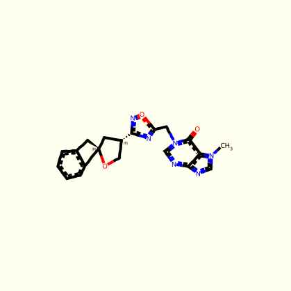 Cn1cnc2ncn(Cc3nc([C@@H]4CO[C@@]5(Cc6ccccc65)C4)no3)c(=O)c21